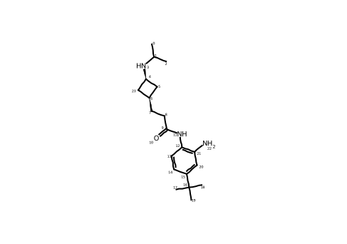 CC(C)N[C@H]1C[C@@H](CCC(=O)Nc2ccc(C(C)(C)C)cc2N)C1